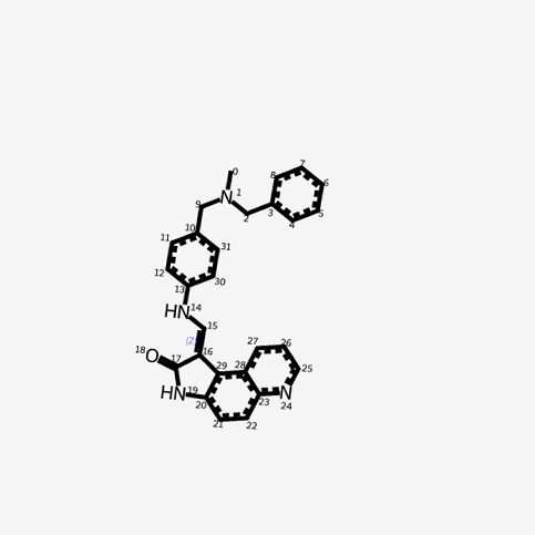 CN(Cc1ccccc1)Cc1ccc(N/C=C2\C(=O)Nc3ccc4ncccc4c32)cc1